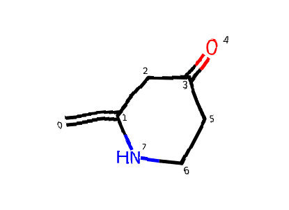 C=C1CC(=O)CCN1